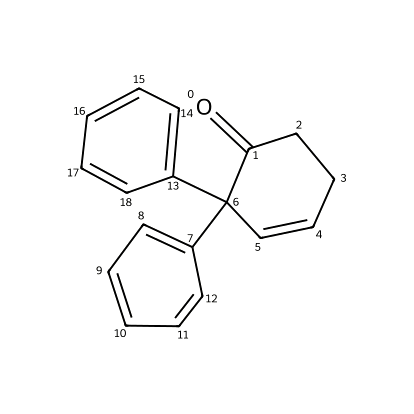 O=C1CCC=CC1(c1ccccc1)c1ccccc1